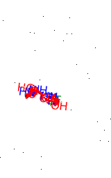 CCc1c(F)ccc2cc(O)cc(-c3ncc4c(N5CC6CCC(C5)N6)nc(OCC56CCCC5C(COC(=O)NCCCCCCCCCCC(=O)NC(C(=O)N5C[C@H](O)CC5C(=O)NC(=O)c5ccc(C7=C(C)C=CC7)cc5)C(C)(C)C)CC6)nc4c3F)c12